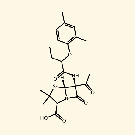 CCC(Oc1ccc(C)cc1C)C(=O)N[C@@]1(C(C)=O)C(=O)N2[C@@H](C(=O)O)C(C)(C)S[C@@H]21